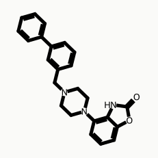 O=c1[nH]c2c(N3CCN(Cc4cccc(-c5ccccc5)c4)CC3)cccc2o1